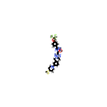 CSC1CCN(c2cccc(Cn3nc(-c4nc(-c5ccc(OC(F)(F)F)cc5)no4)nc3C)c2)CC1